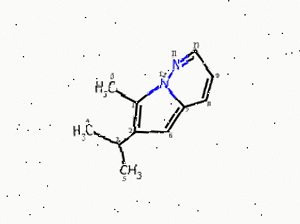 Cc1c(C(C)C)cc2cccnn12